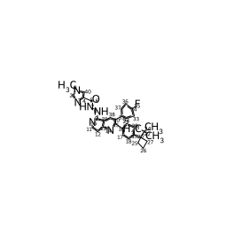 Cn1cnc(C(=O)NNc2nccc3nc(-c4ccc(C5(C(C)(C)C)CCC5)cc4)c(-c4ccc(F)cc4)cc23)c1